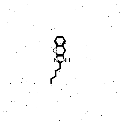 CCCCCc1nc2c([nH]1)Cc1ccccc1O2